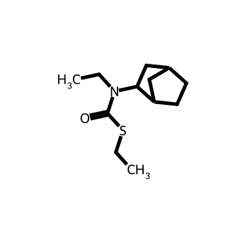 CCSC(=O)N(CC)C1CC2CCC1C2